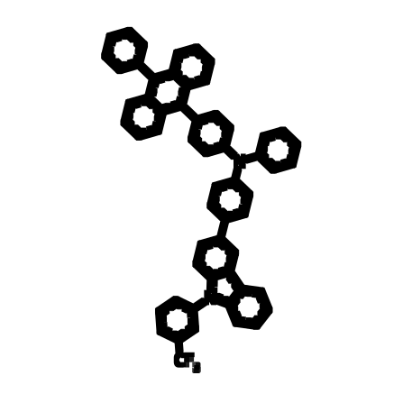 FC(F)(F)c1cccc(-n2c3ccccc3c3cc(-c4ccc(N(c5ccccc5)c5ccc(-c6c7ccccc7c(-c7ccccc7)c7ccccc67)cc5)cc4)ccc32)c1